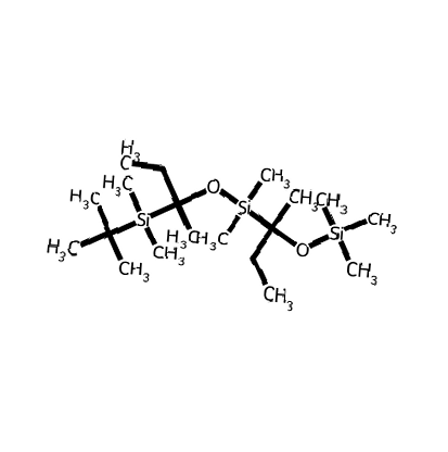 CCC(C)(O[Si](C)(C)C)[Si](C)(C)OC(C)(CC)[Si](C)(C)C(C)(C)C